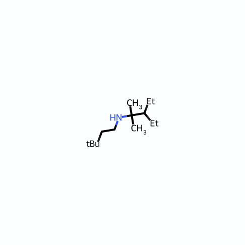 CCC(CC)C(C)(C)NCCC(C)(C)C